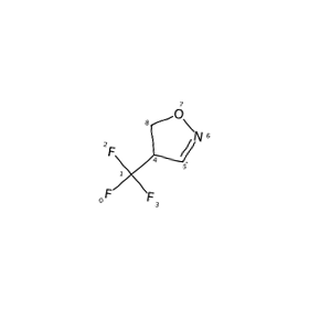 FC(F)(F)C1[C]=NOC1